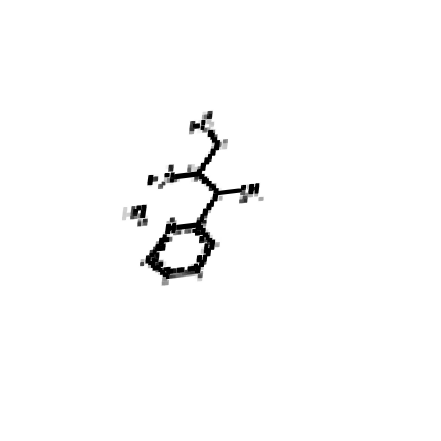 CC(c1ccccn1)[C@@H](N)CO.Cl